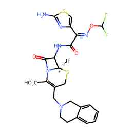 Nc1nc(/C(=N\OC(F)F)C(=O)NC2C(=O)N3C(C(=O)O)=C(CN4CCc5ccccc5C4)CS[C@H]23)cs1